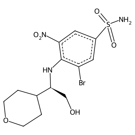 NS(=O)(=O)c1cc(Br)c(N[C@@H](CO)C2CCOCC2)c([N+](=O)[O-])c1